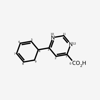 O=C(O)c1cc(C2C=CC=CC2)ncn1